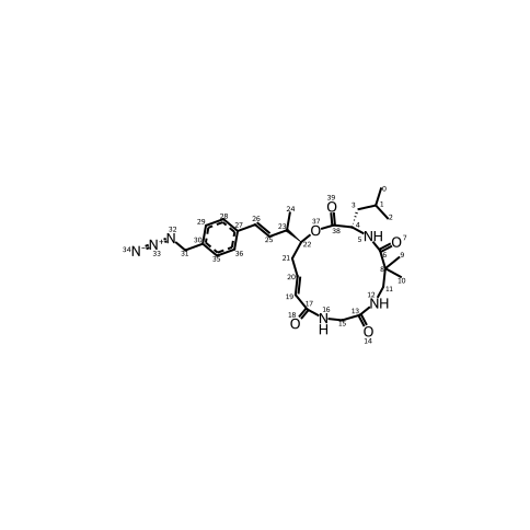 CC(C)C[C@@H]1NC(=O)C(C)(C)CNC(=O)CNC(=O)/C=C/C[C@@H](C(C)/C=C/c2ccc(CN=[N+]=[N-])cc2)OC1=O